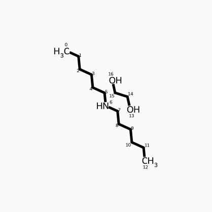 CCCCCCNCCCCCC.OCCO